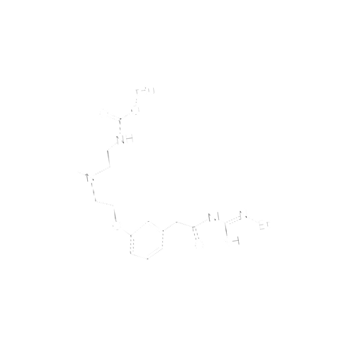 CC/N=C(\S)NC(=O)Cc1cccc(OCCN(C)CCNC(=O)OC(C)(C)C)c1